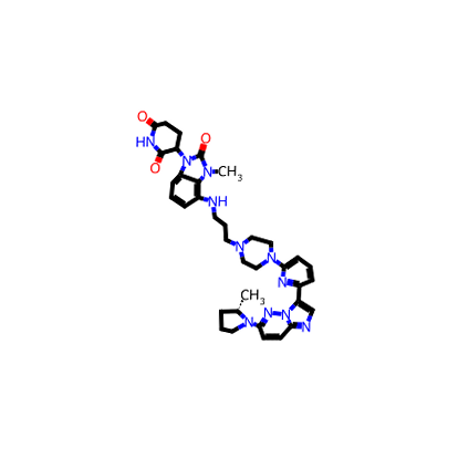 C[C@H]1CCCN1c1ccc2ncc(-c3cccc(N4CCN(CCCNc5cccc6c5n(C)c(=O)n6C5CCC(=O)NC5=O)CC4)n3)n2n1